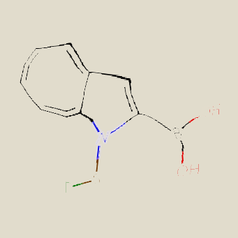 OB(O)c1cc2ccccc2n1SF